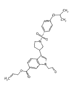 C=CCOC(=O)c1ccc2c(C3CCN(S(=O)(=O)c4ccc(OC(C)C)cc4)C3)cn(CC=O)c2c1